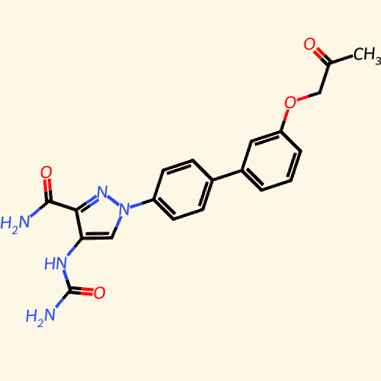 CC(=O)COc1cccc(-c2ccc(-n3cc(NC(N)=O)c(C(N)=O)n3)cc2)c1